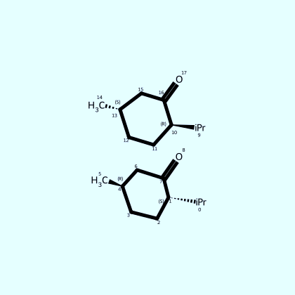 CC(C)[C@@H]1CC[C@@H](C)CC1=O.CC(C)[C@H]1CC[C@H](C)CC1=O